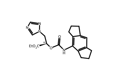 CCOC(=O)[C@@H](Cn1cncn1)OC(=O)Nc1c2c(cc3c1CCC3)CCC2